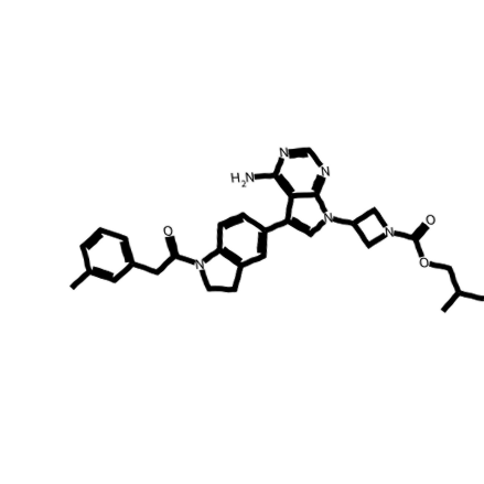 Cc1cccc(CC(=O)N2CCc3cc(-c4cn(C5CN(C(=O)OCC(C)C)C5)c5ncnc(N)c45)ccc32)c1